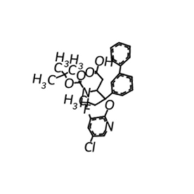 CCC(Oc1ncc(Cl)cc1F)(c1cccc(-c2ccccc2)c1)C(CC(=O)O)NC(=O)OC(C)(C)C